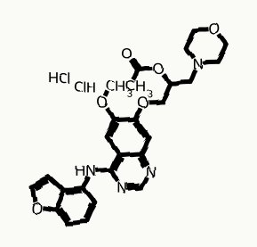 COc1cc2c(Nc3cccc4occc34)ncnc2cc1OCC(CN1CCOCC1)OC(C)=O.Cl.Cl